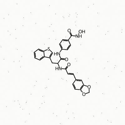 O=C(/C=C/c1ccc2c(c1)OCO2)NC(Cc1csc2ccccc12)C(=O)Nc1ccc(C(=O)NO)cc1